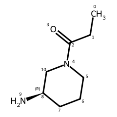 CCC(=O)N1CCC[C@@H](N)C1